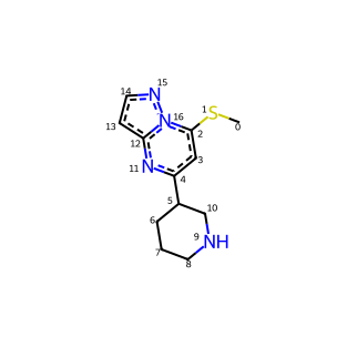 CSc1cc(C2CCCNC2)nc2ccnn12